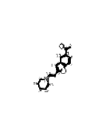 CC(=O)c1ccc2oc(CCN3CCCCC3)cc2c1